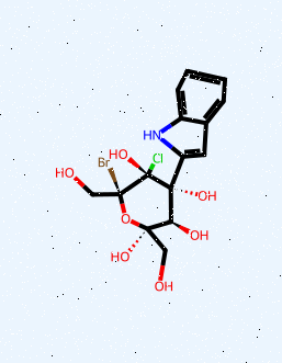 OC[C@@]1(O)O[C@](Br)(CO)[C@](O)(Cl)[C@@](O)(c2cc3ccccc3[nH]2)[C@H]1O